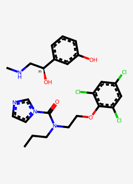 CCCN(CCOc1c(Cl)cc(Cl)cc1Cl)C(=O)n1ccnc1.CNC[C@H](O)c1cccc(O)c1